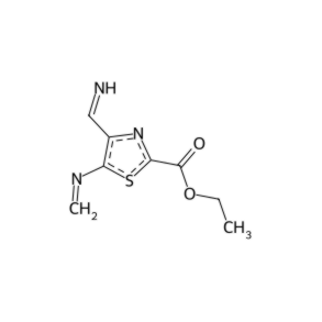 C=Nc1sc(C(=O)OCC)nc1C=N